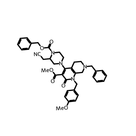 COC(=O)c1c(N2CCN(C(=O)OCc3ccccc3)C(CC#N)C2)c2c(n(Cc3ccc(OC)cc3)c1=O)CN(Cc1ccccc1)CC2